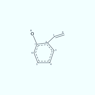 C=Cc1ccccc1[O]